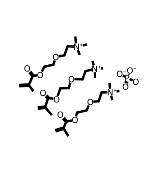 C=C(C)C(=O)OCCOCC[N+](C)(C)C.C=C(C)C(=O)OCCOCC[N+](C)(C)C.C=C(C)C(=O)OCCOCC[N+](C)(C)C.O=P([O-])([O-])[O-]